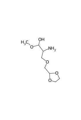 COC(O)C(N)COCC1OCCO1